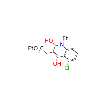 CCOC(=O)CC1=C(O)c2c(Cl)cccc2N(CC)C1O